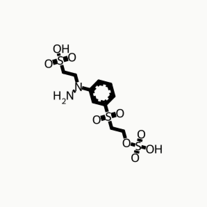 NN(CCS(=O)(=O)O)c1cccc(S(=O)(=O)CCOS(=O)(=O)O)c1